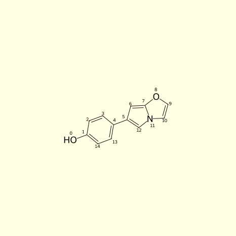 Oc1ccc(-c2cc3occn3c2)cc1